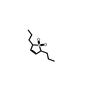 CCCC1C=CC(CCC)S1(=O)=O